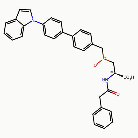 O=C(Cc1ccccc1)N[C@@H](C[S+]([O-])Cc1ccc(-c2ccc(-n3ccc4ccccc43)cc2)cc1)C(=O)O